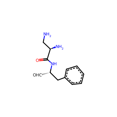 NC[C@@H](N)C(=O)N[C@@H](C=O)Cc1ccccc1